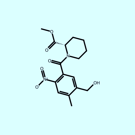 COC(=O)[C@@H]1CCCCN1C(=O)c1cc(CO)c(C)cc1[N+](=O)[O-]